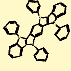 c1ccc(B2C3=C(B(c4ccccc4)c4ccccc43)c3cc4c(cc32)C2=C(B4c3ccccc3)c3ccccc3B2c2ccccc2)cc1